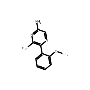 Cc1nc(N)cnc1-c1ccccc1OC(F)(F)F